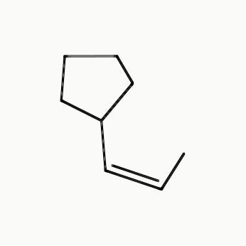 C/C=C\C1CCCC1